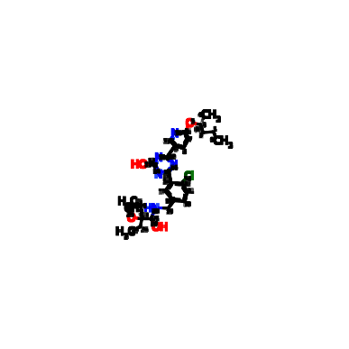 CCC[C@@H](C)Oc1ccc(-c2nc(O)nc(-c3cc(CNC(O)C(CC)(CC)OC)ccc3Cl)n2)cn1